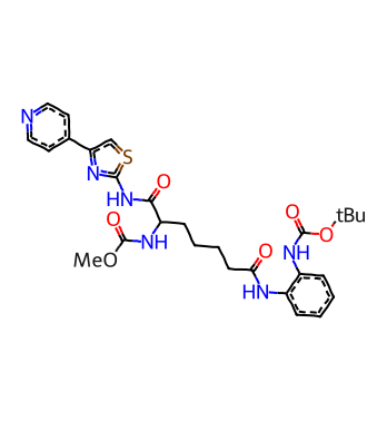 COC(=O)NC(CCCCC(=O)Nc1ccccc1NC(=O)OC(C)(C)C)C(=O)Nc1nc(-c2ccncc2)cs1